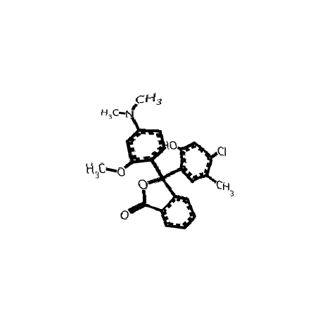 COc1cc(N(C)C)ccc1C1(c2cc(C)c(Cl)cc2O)OC(=O)c2ccccc21